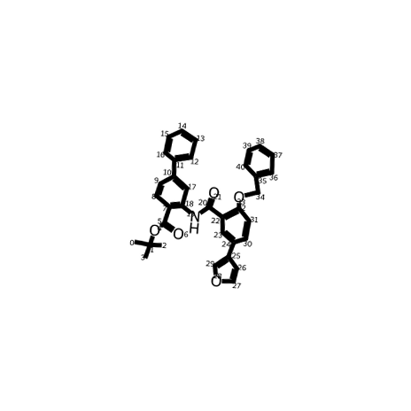 CC(C)(C)OC(=O)c1ccc(-c2ccccc2)cc1NC(=O)c1cc(-c2ccoc2)ccc1OCc1ccccc1